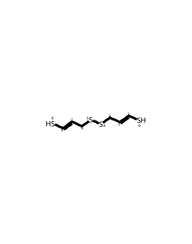 SC=CCSSCC=CS